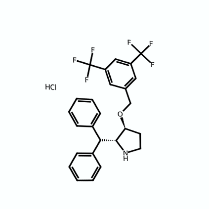 Cl.FC(F)(F)c1cc(CO[C@H]2CCN[C@@H]2C(c2ccccc2)c2ccccc2)cc(C(F)(F)F)c1